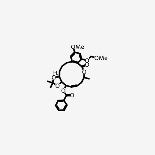 COCOc1cc(OC)cc2c1C(=O)OC(C)C/C=C\C(OC(=O)c1ccccc1)C1OC(C)(C)O[C@H]1CCC2